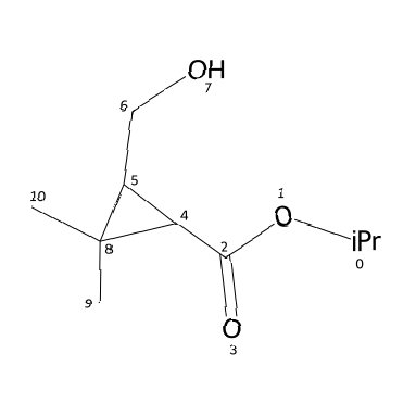 CC(C)OC(=O)C1C(CO)C1(C)C